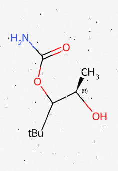 C[C@@H](O)C(OC(N)=O)C(C)(C)C